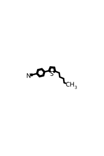 CCCCCc1ccc(-c2ccc(C#N)cc2)s1